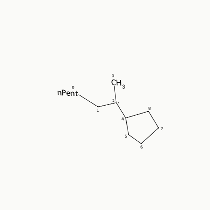 CCCCCC[C](C)C1CCCC1